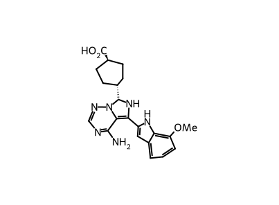 COc1cccc2cc(C3=C4C(N)=NC=NN4C([C@H]4CC[C@H](C(=O)O)CC4)N3)[nH]c12